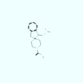 CC(C)(C)OC(=O)N1CCC2(CC1)Cc1ccccc1C2N[S+]([O-])C(C)(C)C